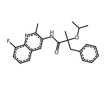 Cc1nc2c(F)cccc2cc1NC(=O)C(C)(Cc1ccccc1)OC(C)C